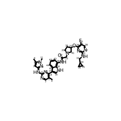 Cc1cnc(Nc2cc(C)n(C)n2)nc1-c1c[nH]c2c(NC(=O)CN3CCC(Oc4nc(NCC5CC5)ncc4F)C3)cccc12